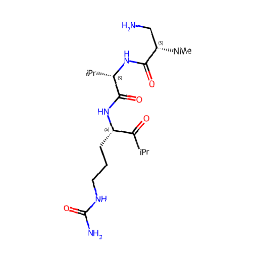 CN[C@@H](CN)C(=O)N[C@H](C(=O)N[C@@H](CCCNC(N)=O)C(=O)C(C)C)C(C)C